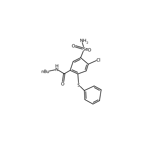 CCCCNC(=O)c1cc(S(N)(=O)=O)c(Cl)cc1Sc1ccccc1